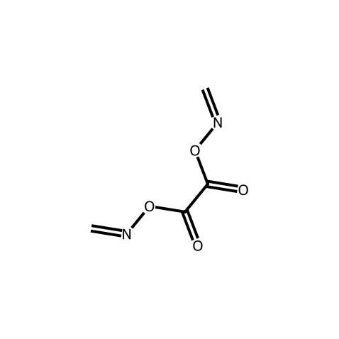 C=NOC(=O)C(=O)ON=C